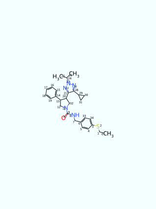 CCSc1ccc(CNC(=O)N2CC(c3ccccc3)C(c3nn(C(C)C)nc3C3CC3)C2)cc1